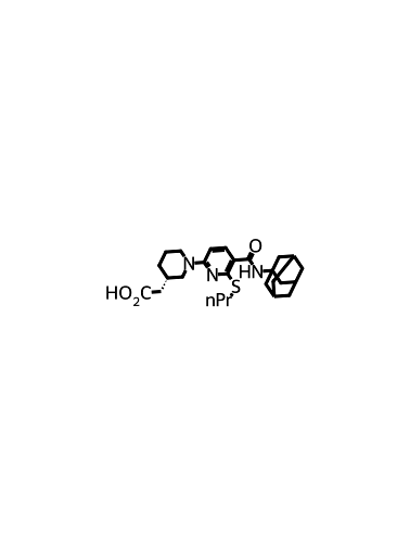 CCCSc1nc(N2CCC[C@@H](CC(=O)O)C2)ccc1C(=O)NC12CC3CC(CC(C3)C1)C2